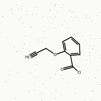 C#CCOc1ccccc1C(=O)Cl